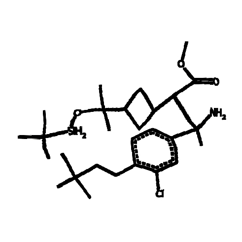 COC(=O)C(C1CC(C(C)(C)O[SiH2]C(C)(C)C)C1)C(C)(N)c1ccc(CCC(C)(C)C)c(Cl)c1